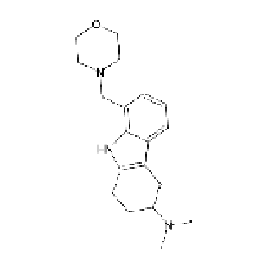 CN(C)C1CCc2[nH]c3c(CN4CCOCC4)cccc3c2C1